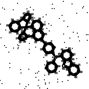 c1ccc(N(c2ccc(-c3cc4c5c(cccc5c3)C3(c5ccccc5-c5ccccc53)c3ccccc3-4)cc2)c2cccc3c2oc2ccccc23)cc1